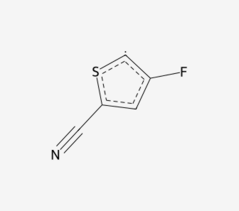 N#Cc1cc(F)[c]s1